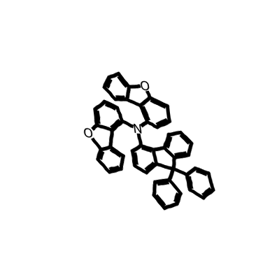 c1ccc(C2(c3ccccc3)c3ccccc3-c3c(N(c4cccc5oc6ccccc6c45)c4cccc5oc6ccccc6c45)cccc32)cc1